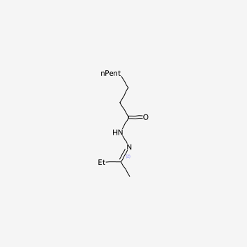 CCCCCCCC(=O)N/N=C(/C)CC